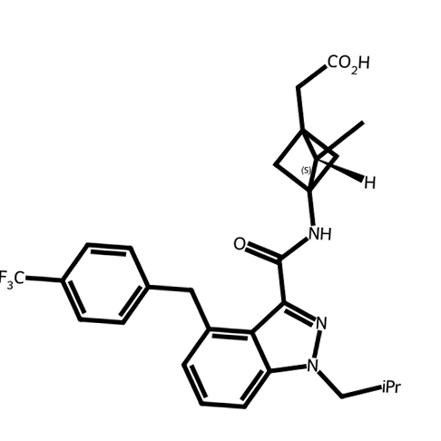 CC(C)Cn1nc(C(=O)NC23CC(CC(=O)O)(C2)[C@@H]3C)c2c(Cc3ccc(C(F)(F)F)cc3)cccc21